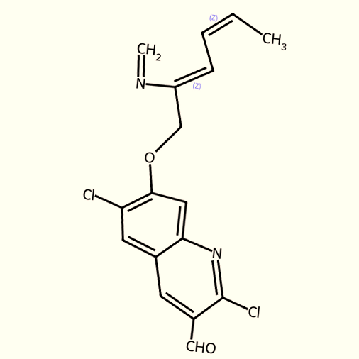 C=N/C(=C\C=C/C)COc1cc2nc(Cl)c(C=O)cc2cc1Cl